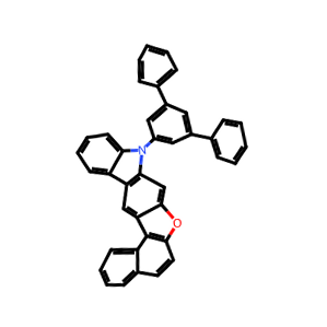 c1ccc(-c2cc(-c3ccccc3)cc(-n3c4ccccc4c4cc5c(cc43)oc3ccc4ccccc4c35)c2)cc1